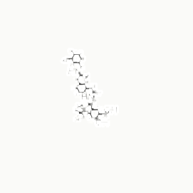 Cc1ccc(CNC(=O)Cc2cccc(C[C@@H](C)NC[C@H](O[Si](C)(C)C(C)(C)C)c3ccc(O)c(CO)c3)c2)cc1C